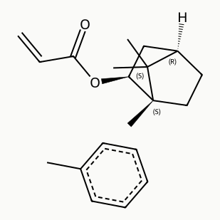 C=CC(=O)O[C@H]1C[C@H]2CC[C@@]1(C)C2(C)C.Cc1ccccc1